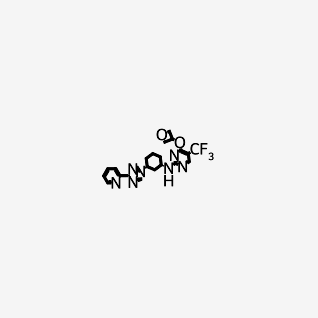 FC(F)(F)c1cnc(N[C@H]2CCC[C@H](n3cnc(-c4ccccn4)n3)C2)nc1OC1COC1